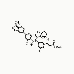 [2H]C(c1ccc(-c2ccc3c(cnn3C)c2)cc1Cl)N(C(=O)[C@@H]1C[C@@H]2CC[C@H]1C2)c1cc(F)cc(/C=C/C(=O)OC)c1